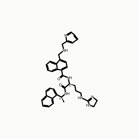 C[C@H](NC(=O)[C@H](CCCNC1=NCCN1)NC(=O)c1ccc(CNCc2ccccn2)c2ccccc12)c1cccc2ccccc12